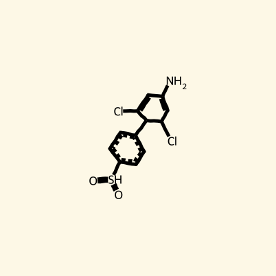 NC1=CC(Cl)C(c2ccc([SH](=O)=O)cc2)C(Cl)=C1